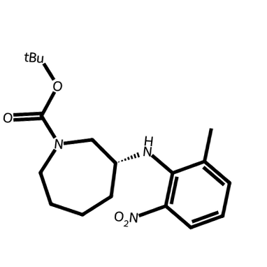 Cc1cccc([N+](=O)[O-])c1N[C@@H]1CCCCN(C(=O)OC(C)(C)C)C1